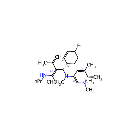 C=C/C(C)=C\C(=C/N(C)C)N(C)C(/C(C(=C)C)=C(\C=O)NCCC)[C@@H]1C=CC(CC)CC1